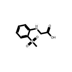 CS(=O)(=O)c1ccccc1NCC(=O)O